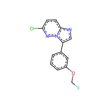 FCOc1cccc(-c2cnc3ccc(Cl)nn23)c1